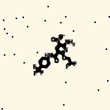 Nc1nc(OCC(F)F)c(C(=O)NC2CCC(C(F)(F)F)CC2)cc1[N+](=O)[O-]